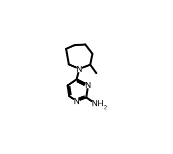 CC1CCCCCN1c1ccnc(N)n1